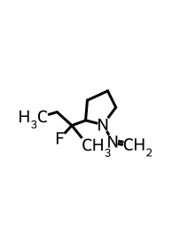 C=NN1CCCC1C(C)(F)CC